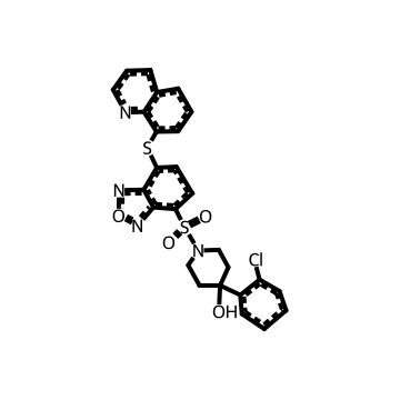 O=S(=O)(c1ccc(Sc2cccc3cccnc23)c2nonc12)N1CCC(O)(c2ccccc2Cl)CC1